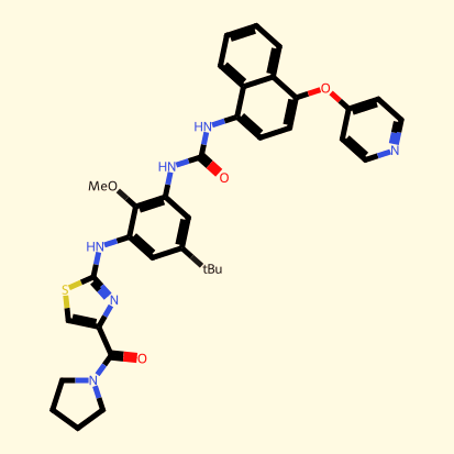 COc1c(NC(=O)Nc2ccc(Oc3ccncc3)c3ccccc23)cc(C(C)(C)C)cc1Nc1nc(C(=O)N2CCCC2)cs1